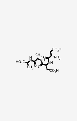 C[C@H](NC(=O)[C@H](C)NC(=O)[C@H](CC(=O)O)NC(=O)[C@@H](N)CC(=O)O)C(=O)O